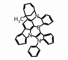 CC12C=CC=CC(C1)N1c3ccccc3B3c4c(n(-c5ccccc5)c5ccccc45)-n4c5ccccc5c5cc2c1c3c54